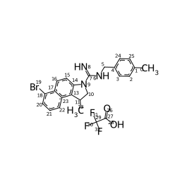 Cc1ccc(CNC(=N)N2CC(C)c3c2ccc2c(Br)cccc32)cc1.O=C(O)C(F)(F)F